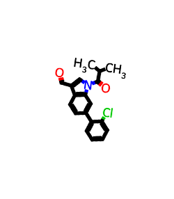 CC(C)C(=O)n1cc(C=O)c2ccc(-c3ccccc3Cl)cc21